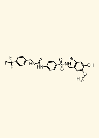 COc1cc(CNS(=O)(=O)c2ccc(NC(=S)NCc3ccc(C(F)(F)F)cc3)cc2)c(Br)cc1O